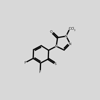 O=c1n(C2C=CC(F)=C(F)C2=S)cnn1C(Cl)(Cl)Cl